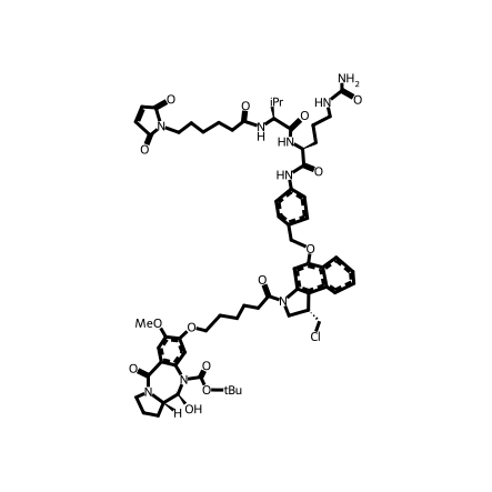 COc1cc2c(cc1OCCCCCC(=O)N1C[C@@H](CCl)c3c1cc(OCc1ccc(NC(=O)[C@H](CCCNC(N)=O)NC(=O)[C@@H](NC(=O)CCCCCN4C(=O)C=CC4=O)C(C)C)cc1)c1ccccc31)N(C(=O)OC(C)(C)C)[C@@H](O)[C@@H]1CCCN1C2=O